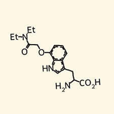 CCN(CC)C(=O)COc1cccc2c(CC(N)C(=O)O)c[nH]c12